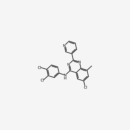 Cc1cc(Cl)cc2c(Nc3ccc(Cl)c(Cl)c3)nc(-c3cccnc3)nc12